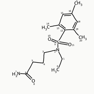 CCN(CCCC(N)=O)S(=O)(=O)c1c(C)cc(C)cc1C